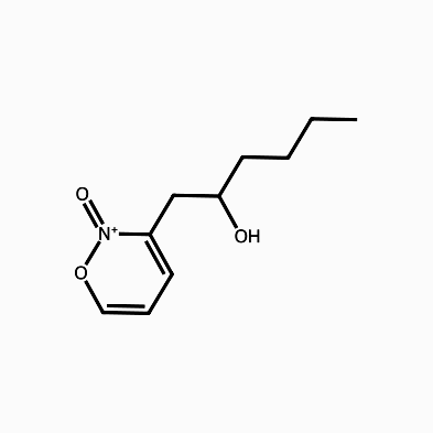 CCCCC(O)Cc1ccco[n+]1=O